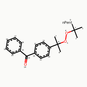 CCCCCC(C)(C)OOC(C)(C)c1ccc(C(=O)c2ccccc2)cc1